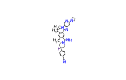 Cc1cc(C)c(-c2nc3cc(N4CCC4)ncc3n2C)cc1C(=N)N1CCC(I)(c2ccc(C#N)cc2)CC1